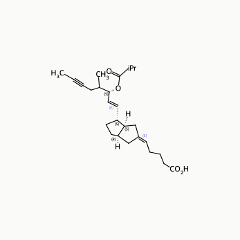 CC#CCC(C)[C@@H](/C=C/[C@H]1CC[C@@H]2C/C(=C\CCCC(=O)O)C[C@@H]21)OC(=O)C(C)C